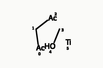 CC(=O)CC(C)=O.CO.[Ti]